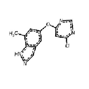 Cc1cc(Oc2cc(Cl)ncn2)cc2cn[nH]c12